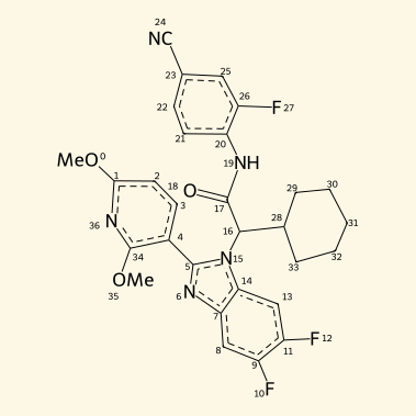 COc1ccc(-c2nc3cc(F)c(F)cc3n2C(C(=O)Nc2ccc(C#N)cc2F)C2CCCCC2)c(OC)n1